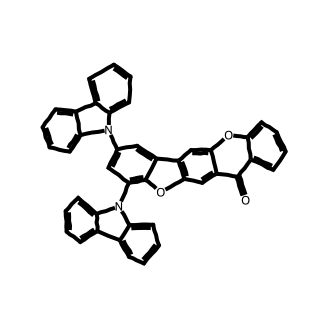 O=c1c2ccccc2oc2cc3c(cc12)oc1c(-n2c4ccccc4c4ccccc42)cc(-n2c4ccccc4c4ccccc42)cc13